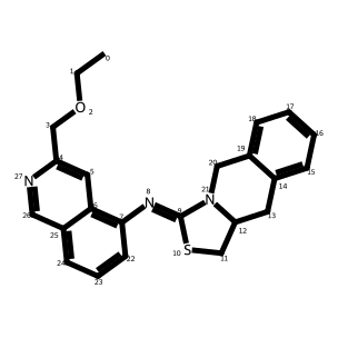 CCOCc1cc2c(N=C3SCC4Cc5ccccc5CN34)cccc2cn1